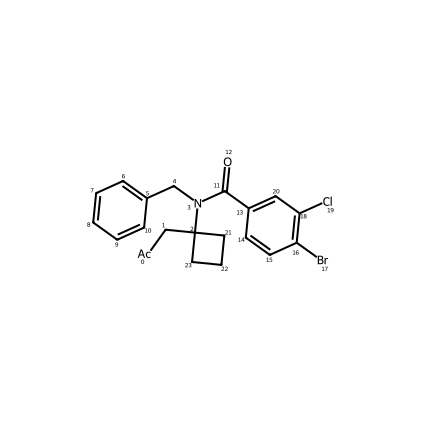 CC(=O)CC1(N(Cc2ccccc2)C(=O)c2ccc(Br)c(Cl)c2)CCC1